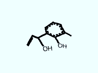 C=CC(O)c1cccc(C)c1O